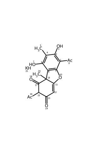 CC(=O)c1c(O)c(C)c(O)c2c1OC1=CC(=O)C(C(C)=O)C(=O)C12C.[KH]